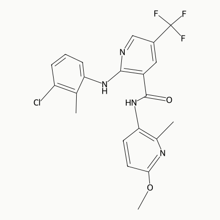 COc1ccc(NC(=O)c2cc(C(F)(F)F)cnc2Nc2cccc(Cl)c2C)c(C)n1